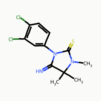 CN1C(=S)N(c2ccc(Cl)c(Cl)c2)C(=N)C1(C)C